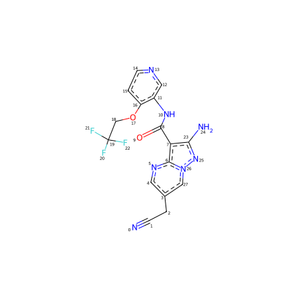 N#CCc1cnc2c(C(=O)Nc3cnccc3OCC(F)(F)F)c(N)nn2c1